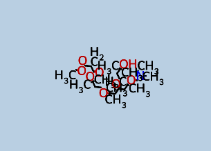 C=C(C(=O)OCC)C(=O)OC(C)(C)CCOC(C)(C)CC(CC(C)(C)OCN(C)CC)OCCC(C)(C)O